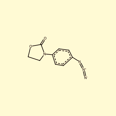 [N-]=[N+]=Nc1ccc(N2CCOC2=O)cc1